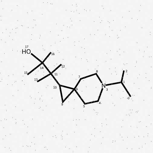 CC(C)N1CCC2(CC1)CC2C(C)(C)C(C)(C)O